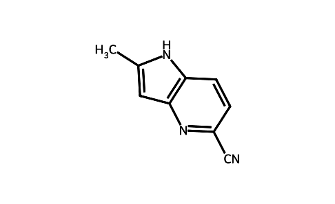 Cc1cc2nc(C#N)ccc2[nH]1